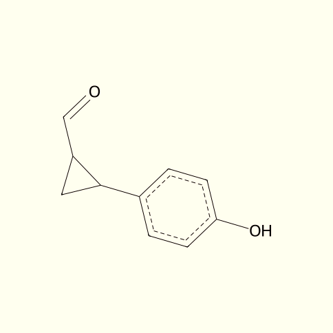 O=CC1CC1c1ccc(O)cc1